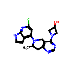 C[C@@H]1Cc2ncnc(N3CC(O)C3)c2CN1c1cc(Cl)nc2[nH]ccc12